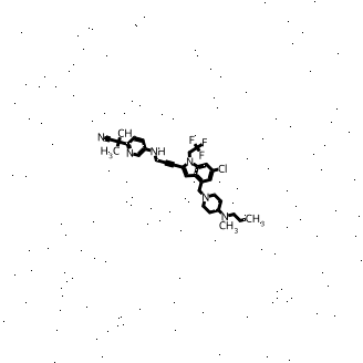 CCCN(C)C1CCN(Cc2cc(Cl)cc3c2cc(C#CCNc2ccc(C(C)(C)C#N)nc2)n3CC(F)(F)F)CC1